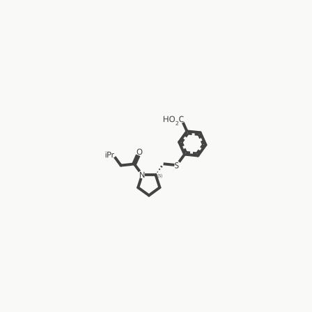 CC(C)CC(=O)N1CCC[C@H]1CSc1cccc(C(=O)O)c1